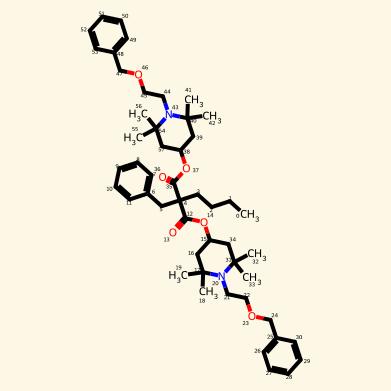 CCCCC(Cc1ccccc1)(C(=O)OC1CC(C)(C)N(CCOCc2ccccc2)C(C)(C)C1)C(=O)OC1CC(C)(C)N(CCOCc2ccccc2)C(C)(C)C1